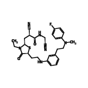 CCN1C(=O)C(CCNc2cccc(CCN(C)c3ccc(F)cc3)c2)SC1CC(C#N)C(=O)NCC#N